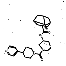 O=C(N1CCC(c2ccncc2)CC1)N1CCC[C@H](NC(=O)C23CC4CC(C2)C(O)C(C4)C3)C1